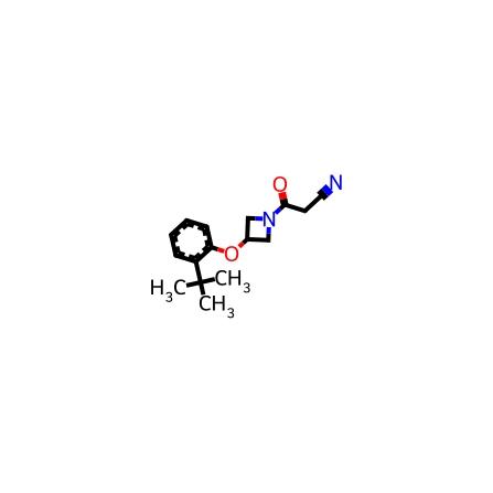 CC(C)(C)c1ccccc1OC1CN(C(=O)CC#N)C1